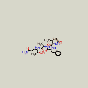 CC(NC(=O)[C@H](Cc1ccccc1)NC(=O)[C@@H](NC(=O)S)C(C)C)C(=O)NC(CCC(N)=O)C(C)O